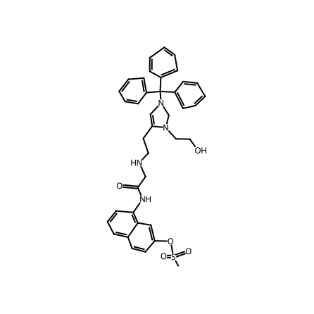 CS(=O)(=O)Oc1ccc2cccc(NC(=O)CNCCC3=CN(C(c4ccccc4)(c4ccccc4)c4ccccc4)CN3CCO)c2c1